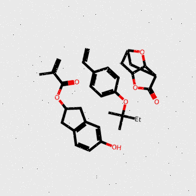 C=C(C)C(=O)OC1Cc2ccc(O)cc2C1.C=Cc1ccc(OC(C)(C)CC)cc1.O=C1OC2[CH]C3CC1C2O3